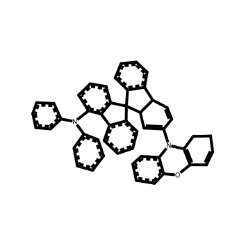 C1=CC2=C(CC1)N(C1=CC3C(C=C1)c1ccccc1C31c3ccccc3-c3c(N(c4ccccc4)c4ccccc4)cccc31)c1ccccc1O2